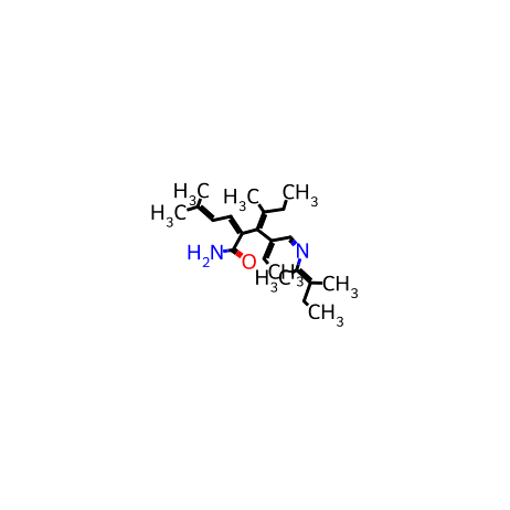 C/C=C(\C=N/C(C)=C(\C)CC)C(/C(=C/C=C(C)C)C(N)=O)=C(/C)CC